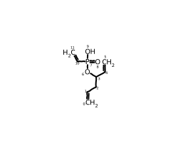 C=CCC(C=C)OP(=O)(O)C=C